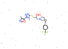 Cc1ncoc1-c1nnc(SCC(O)CN2CC[C@]3(CC3c3ccc(C(F)(F)F)cc3)C2)n1C